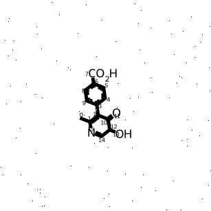 CC1=C(c2ccc(C(=O)O)cc2)C(=O)C(O)C=N1